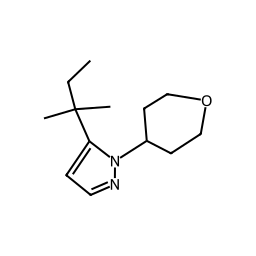 CCC(C)(C)c1ccnn1C1CCOCC1